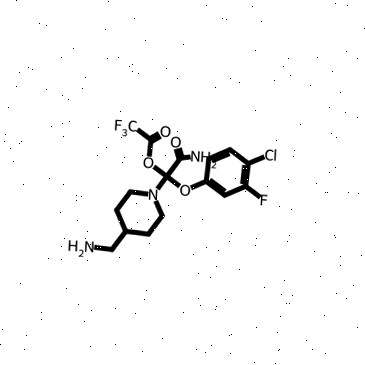 NCC1CCN(C(OC(=O)C(F)(F)F)(Oc2ccc(Cl)c(F)c2)C(N)=O)CC1